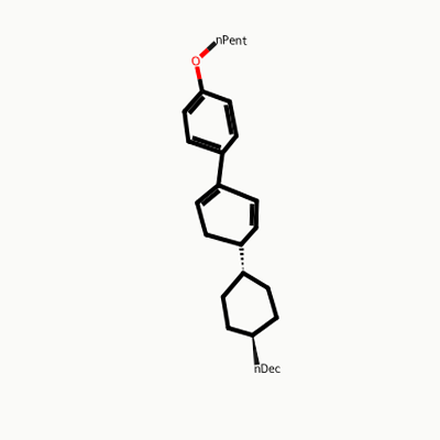 CCCCCCCCCC[C@H]1CC[C@H](C2C=CC(c3ccc(OCCCCC)cc3)=CC2)CC1